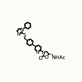 CC(=O)NC[C@H]1CN(c2ccc(-c3ccc(CSc4nccn4-c4ccccc4)cc3)cn2)C(=O)O1